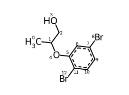 CC(CO)Oc1cc(Br)ccc1Br